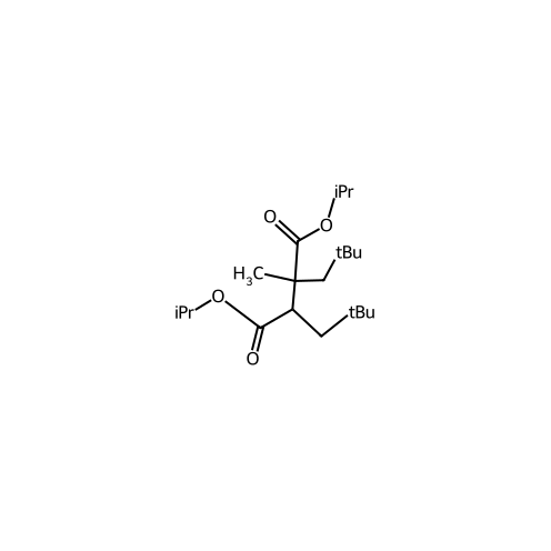 CC(C)OC(=O)C(CC(C)(C)C)C(C)(CC(C)(C)C)C(=O)OC(C)C